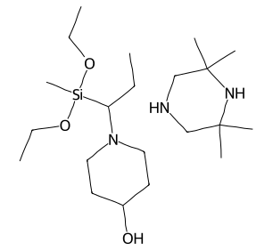 CC1(C)CNCC(C)(C)N1.CCO[Si](C)(OCC)C(CC)N1CCC(O)CC1